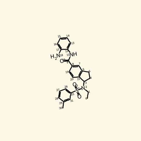 CCN(C1CCc2cc(C(=O)Nc3ccccc3N)ccc21)S(=O)(=O)c1cccc(C)c1